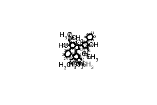 CN(C)Cc1cc(CCC(C)(c2cc(CN(C)C)c(O)c(C3CCCCC3)c2)c2cc(CN(C)C)c(O)c(C3CCCCC3)c2)cc(CN(C)C)c1O